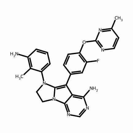 Cc1ccnc(Oc2ccc(-c3c4n(c5ncnc(N)c35)CCN4c3cccc(N)c3C)cc2F)n1